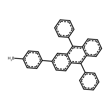 Bc1ccc(-c2ccc3c(-c4ccccc4)c4ccccc4c(-c4ccccc4)c3c2)cc1